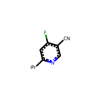 CC(C)c1cc(F)c(C#N)cn1